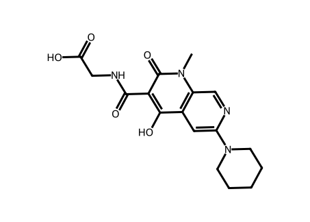 Cn1c(=O)c(C(=O)NCC(=O)O)c(O)c2cc(N3CCCCC3)ncc21